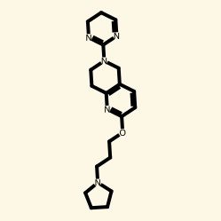 C1=NC(N2CCc3nc(OCCCN4CCCC4)ccc3C2)=NCC1